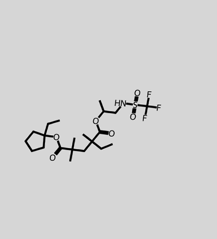 CCC1(OC(=O)C(C)(C)CC(C)(CC)C(=O)OC(C)CNS(=O)(=O)C(F)(F)F)CCCC1